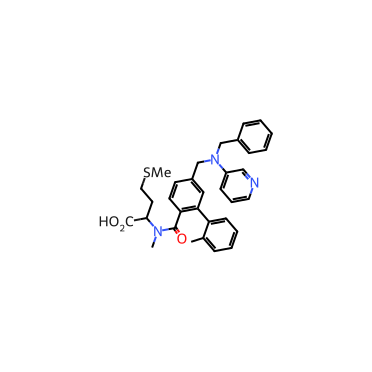 CSCCC(C(=O)O)N(C)C(=O)c1ccc(CN(Cc2ccccc2)c2cccnc2)cc1-c1ccccc1C